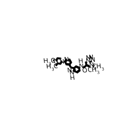 CC1=C(C(=O)Nc2ccc3[nH]nc(-c4ccnc(N5CCN(C)C(C)C5)c4)c3c2)Cn2nnnc2N1C